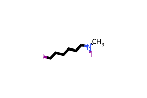 CN(I)CCCCCCI